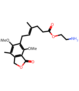 COc1c(C)c2c(c(OC)c1C/C=C(\C)CCC(=O)OCCN)C(=O)OC2